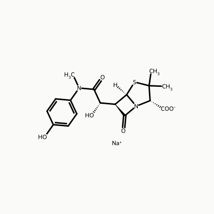 CN(C(=O)[C@@H](O)[C@@H]1C(=O)N2[C@@H]1SC(C)(C)[C@@H]2C(=O)[O-])c1ccc(O)cc1.[Na+]